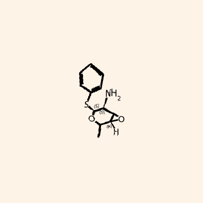 CC1O[C@@H](Sc2ccccc2)[C@@H](N)C2O[C@H]12